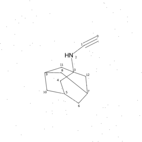 C#CNC12CC3CC(CC(C3)C1)C2